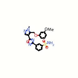 COc1cccc(OCc2c(-c3nc(-c4cccc(S(N)(=O)=O)c4)no3)cnn2C)c1